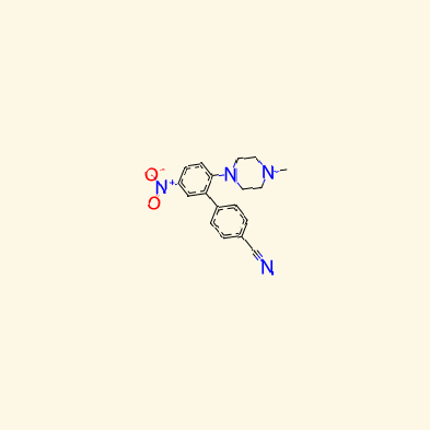 CN1CCN(c2ccc([N+](=O)[O-])cc2-c2ccc(C#N)cc2)CC1